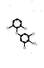 O=[N+]([O-])c1c(Cl)cc(Oc2c(Cl)cccc2Cl)cc1Cl